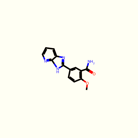 COc1ccc(-c2nc3cccnc3[nH]2)cc1C(N)=O